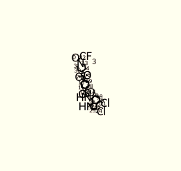 O=C(N1CCC(S(=O)(=O)c2ccc(S(=O)(=O)Nc3ccc(Cl)c4c(Cl)c[nH]c34)cc2)CC1)C(F)(F)F